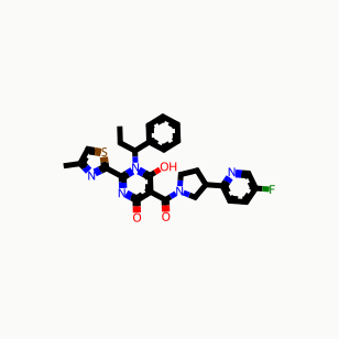 CCC(c1ccccc1)n1c(-c2nc(C)cs2)nc(=O)c(C(=O)N2CCC(c3ccc(F)cn3)C2)c1O